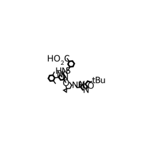 Cc1cccc(C)c1-c1cc(OCC(CC2(C)CC2)NCc2cnc3oc(C(C)(C)C)cc3n2)nc(NSc2cccc(C(=O)O)c2)n1